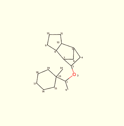 CC(OC1CC2CC1C1CCCC21)C1(C)CCCCC1